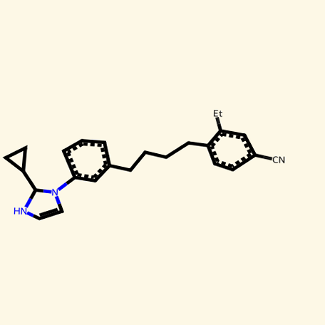 CCc1cc(C#N)ccc1CCCCc1cccc(N2C=CNC2C2CC2)c1